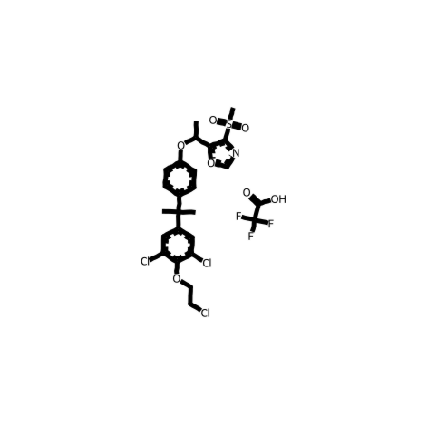 CC(Oc1ccc(C(C)(C)c2cc(Cl)c(OCCCl)c(Cl)c2)cc1)c1ocnc1S(C)(=O)=O.O=C(O)C(F)(F)F